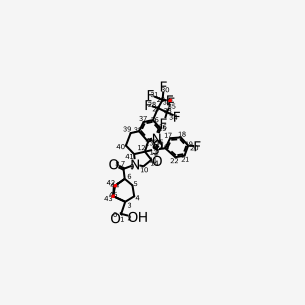 O=C(O)C12CCC(C(=O)N3CCC4(S(=O)(=O)c5ccc(F)cc5)c5ncc(C(F)(C(F)(F)F)C(F)(F)F)cc5CCC34)(CC1)CC2